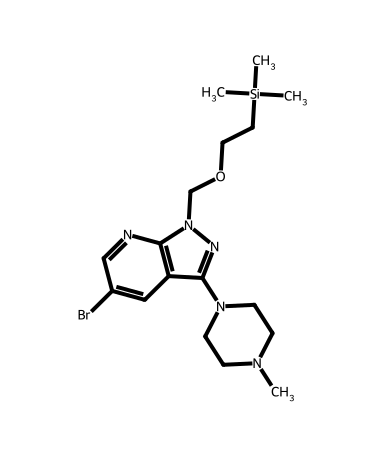 CN1CCN(c2nn(COCC[Si](C)(C)C)c3ncc(Br)cc23)CC1